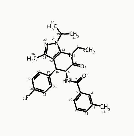 CCN1C(=O)[C@@H](NC(=O)c2cccc(C)c2)[C@@H](c2ccc(F)cc2)c2c(C)nn(C(C)C)c21